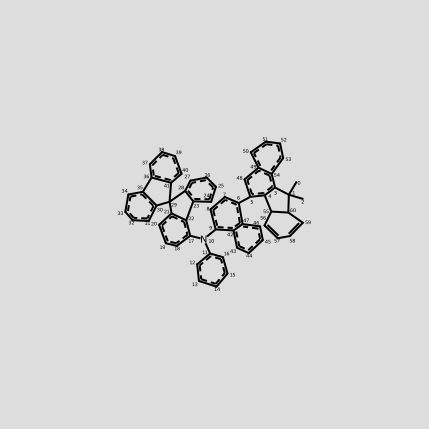 CC1(C)c2c(c(-c3ccc(N(c4ccccc4)c4cccc5c4-c4ccccc4C54c5ccccc5-c5ccccc54)c4ccccc34)cc3ccccc23)C2C=CC=CC21